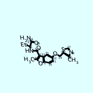 CCC(NC(=O)c1c(C)oc2ccc(OCc3scnc3C)cc12)C(N)=O